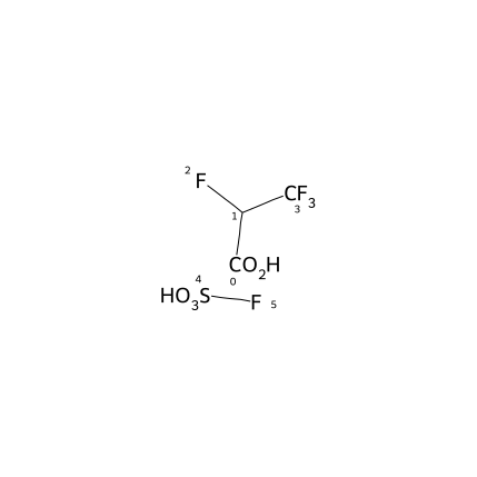 O=C(O)C(F)C(F)(F)F.O=S(=O)(O)F